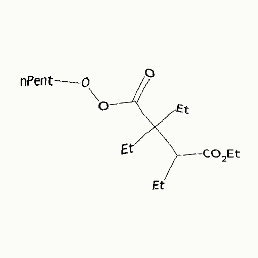 CCCCCOOC(=O)C(CC)(CC)C(CC)C(=O)OCC